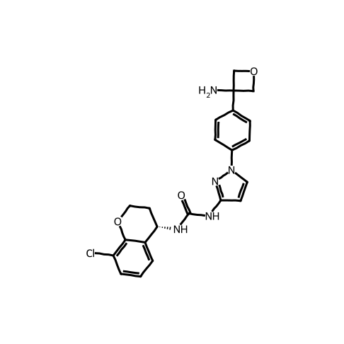 NC1(c2ccc(-n3ccc(NC(=O)N[C@H]4CCOc5c(Cl)cccc54)n3)cc2)COC1